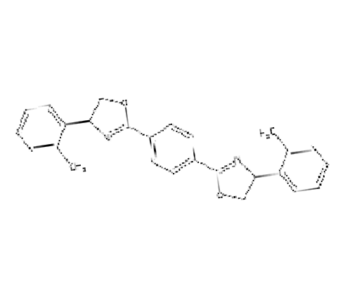 Cc1ccccc1C1COC(c2ccc(C3=NC(c4ccccc4C)CO3)cc2)=N1